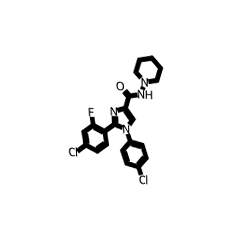 O=C(NN1CCCCC1)c1cn(-c2ccc(Cl)cc2)c(-c2ccc(Cl)cc2F)n1